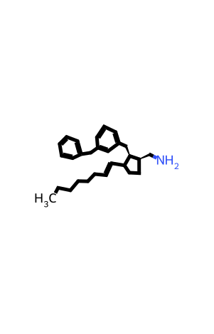 CCCCCC/C=C/C1CC[C@H](CN)[C@@H]1Cc1cccc(Cc2ccccc2)c1